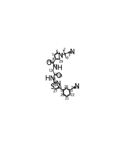 CC(C)(C#N)n1ccc(C(=O)NCC(=O)Nc2nc(-c3cccc(C#N)c3)cs2)c1